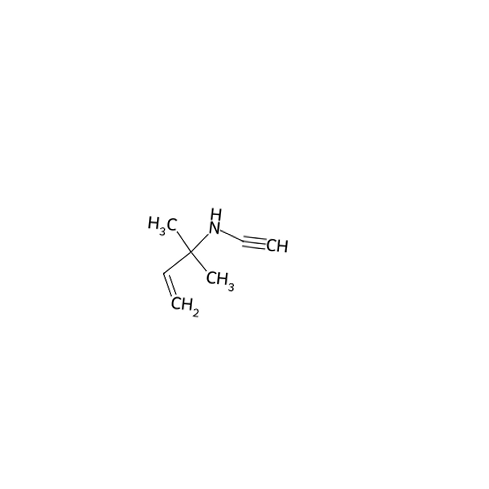 C#CNC(C)(C)C=C